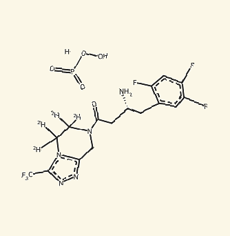 O=P(=O)OO.[2H]C1([2H])N(C(=O)C[C@H](N)Cc2cc(F)c(F)cc2F)Cc2nnc(C(F)(F)F)n2C1([2H])[2H].[H]